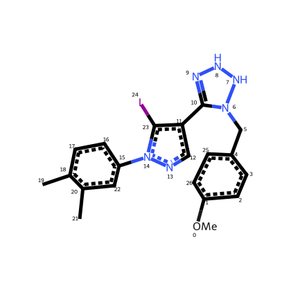 COc1ccc(CN2NNN=C2c2cnn(-c3ccc(C)c(C)c3)c2I)cc1